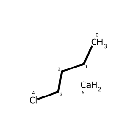 CCCCCl.[CaH2]